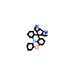 c1ccc2c(c1)Oc1cccc3c1N2c1ccccc1C31c2cccnc2-c2ncccc21